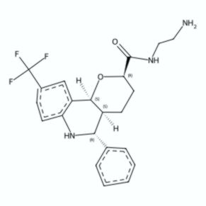 NCCNC(=O)[C@H]1CC[C@@H]2[C@H](O1)c1cc(C(F)(F)F)ccc1N[C@H]2c1ccccc1